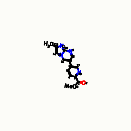 COC(=O)c1ccc(-c2cnc3nc(C)cn3c2)cn1